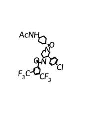 CC(=O)N[C@H]1CC[C@H](C(=O)N2CC[C@@H](N(C)C(=O)c3cc(C(F)(F)F)cc(C(F)(F)F)c3)[C@H](c3ccc(Cl)cc3)C2)CC1